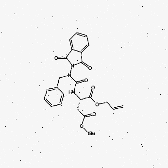 C=CCOC(=O)[C@H](CC(=O)OC(C)(C)C)NC(=O)N(Cc1ccccc1)N1C(=O)c2ccccc2C1=O